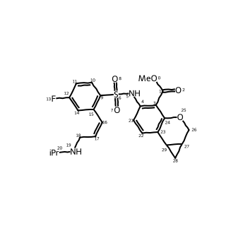 COC(=O)c1c(NS(=O)(=O)c2ccc(F)cc2/C=C\CNC(C)C)ccc2c1OCC1CC21